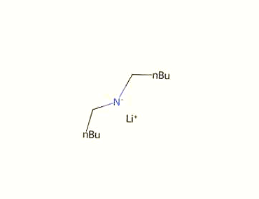 CCCCC[N-]CCCCC.[Li+]